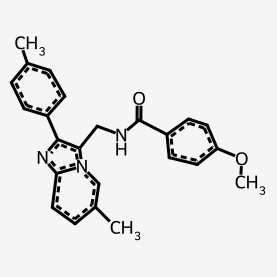 COc1ccc(C(=O)NCc2c(-c3ccc(C)cc3)nc3ccc(C)cn23)cc1